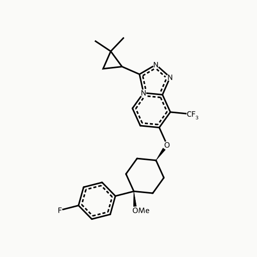 CO[C@]1(c2ccc(F)cc2)CC[C@H](Oc2ccn3c(C4CC4(C)C)nnc3c2C(F)(F)F)CC1